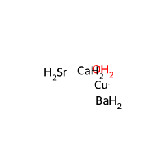 O.[BaH2].[CaH2].[Cu].[SrH2]